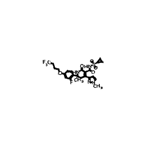 Cn1ccc(C2=C(C(=O)NS(=O)(=O)C3CC3)C(=O)N[C@](C)(c3ccc(OCCCC(F)(F)F)cc3F)C2)n1